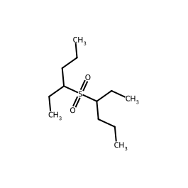 CCCC(CC)S(=O)(=O)C(CC)CCC